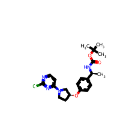 C[C@H](NC(=O)OC(C)(C)C)c1ccc(O[C@@H]2CCN(c3ccnc(Cl)n3)C2)cc1